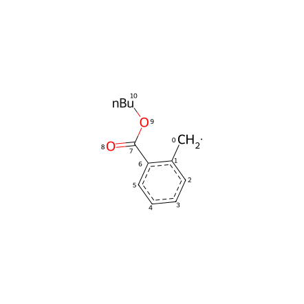 [CH2]c1ccccc1C(=O)OCCCC